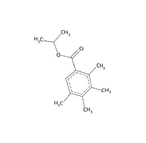 Cc1cc(C(=O)OC(C)C)c(C)c(C)c1C